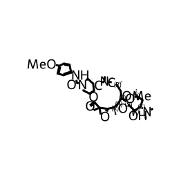 COc1ccc(NC(=O)N2CCC3(CC2)CN(C)C[C@H](C)C[C@@](C)(OC)[C@H](O[C@@H]2O[C@H](C)C[C@H](N(C)C)[C@H]2O)[C@@H](C)C(=O)C(C)(C)C(=O)O3)cc1